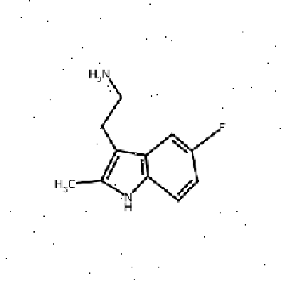 Cc1[nH]c2ccc(F)cc2c1CCN